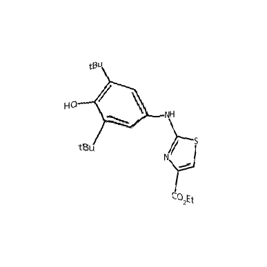 CCOC(=O)c1csc(Nc2cc(C(C)(C)C)c(O)c(C(C)(C)C)c2)n1